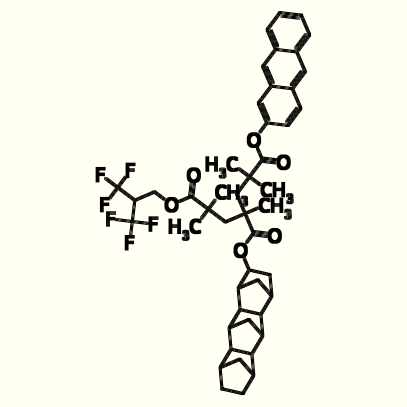 CC(C)(CC(C)(CC(C)(C)C(=O)Oc1ccc2cc3ccccc3cc2c1)C(=O)OC1CC2CC1C1C3CC(C4C5CCC(C5)C34)C21)C(=O)OCC(C(F)(F)F)C(F)(F)F